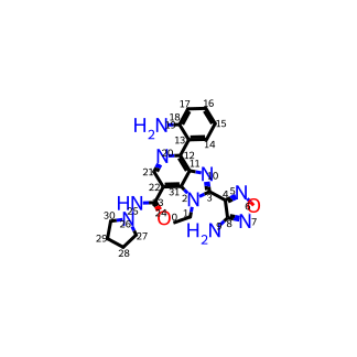 CCn1c(-c2nonc2N)nc2c(-c3ccccc3N)ncc(C(=O)NN3CCCC3)c21